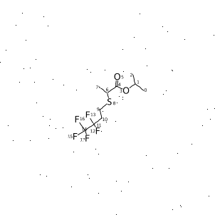 CC(C)OC(=O)C(C)SCCC(F)(F)C(F)(F)F